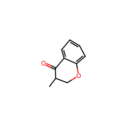 CC1COc2ccccc2C1=O